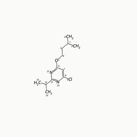 CC(C)CCOc1cc(Cl)nc(C(C)C)n1